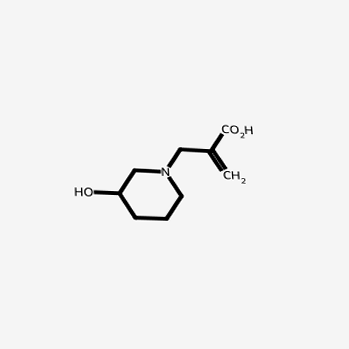 C=C(CN1CCCC(O)C1)C(=O)O